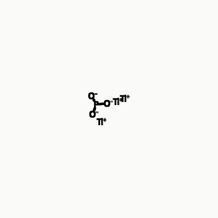 [O-]P([O-])[O-].[Tl+].[Tl+].[Tl+]